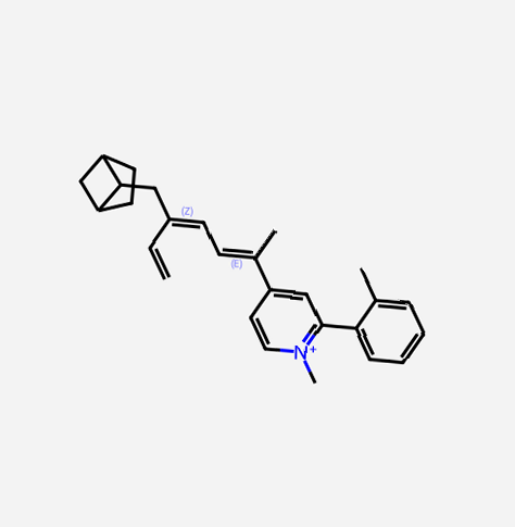 C=C/C(=C\C=C(/C)c1cc[n+](C)c(-c2ccccc2C)c1)CC1C2CCC1C2